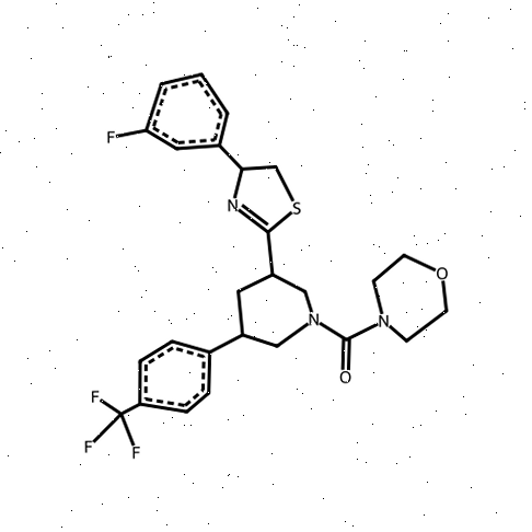 O=C(N1CCOCC1)N1CC(C2=NC(c3cccc(F)c3)CS2)CC(c2ccc(C(F)(F)F)cc2)C1